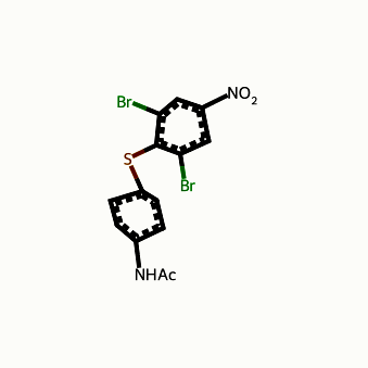 CC(=O)Nc1ccc(Sc2c(Br)cc([N+](=O)[O-])cc2Br)cc1